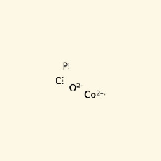 [C].[Co+2].[O-2].[P]